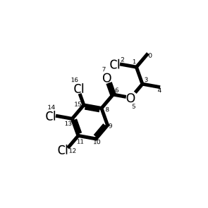 CC(Cl)C(C)OC(=O)c1ccc(Cl)c(Cl)c1Cl